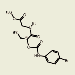 CCN(CC(=O)OC(C)(C)C)C(=O)[C@H](CC(C)C)OC(=O)Nc1ccc(Br)cc1